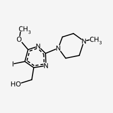 COc1nc(N2CCN(C)CC2)nc(CO)c1I